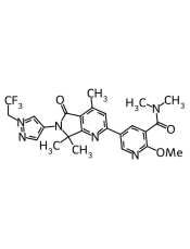 COc1ncc(-c2cc(C)c3c(n2)C(C)(C)N(c2cnn(CC(F)(F)F)c2)C3=O)cc1C(=O)N(C)C